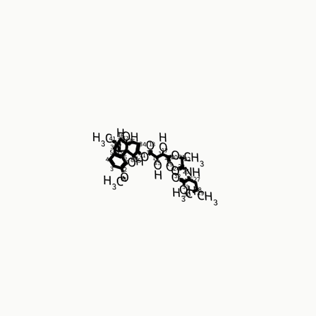 COc1ccc2c3c1O[C@H]1C(OC(=O)[C@H](O)[C@@H](O)C(=O)OC(C)C(=O)NC(CC(C)C)C(=O)O)=CC[C@@]4(O)[C@@H](C2)N(C)CC[C@]314